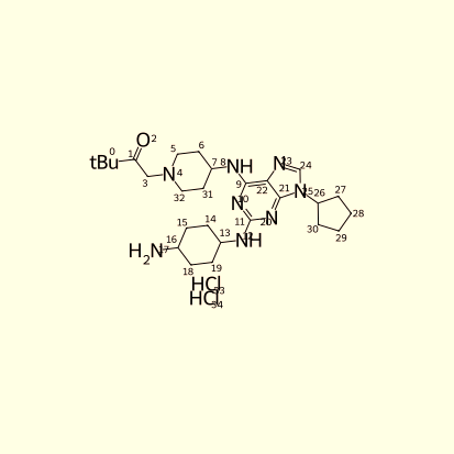 CC(C)(C)C(=O)CN1CCC(Nc2nc(NC3CCC(N)CC3)nc3c2ncn3C2CCCC2)CC1.Cl.Cl